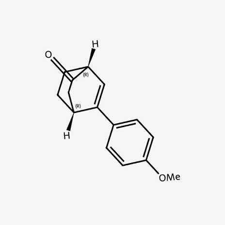 COc1ccc(C2=C[C@H]3CC[C@@H]2CC3=O)cc1